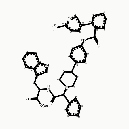 COC(=O)C(Cc1c[nH]c2ccccc12)NC(=O)C(c1ccccc1)N1CCC(c2ccc(NC(=O)c3ccccc3-c3ccc(C(F)(F)F)cc3)cc2)CC1